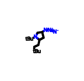 CC(C)(C)CCC1CC(N=[N+]=[N-])CN1C(C)(C)C